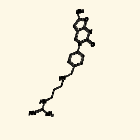 CC(C)(C)c1cc2cn(-c3ccc(CNCCCNC(=N)N)cc3)c(=O)nc2o1